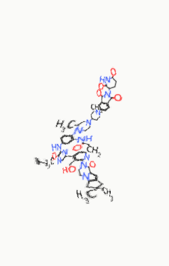 C=CC(=O)Nc1cc(Nc2nc(-c3ccnc(N4CCn5c(cc6c5CC(C)(C)C6)C4=O)c3CO)cnc2OC)ccc1N1CCN(C2CCN(c3ccc4c(c3)C(=O)N(C3CCC(=O)NC3=O)C4=O)[C@@H](C)C2)C[C@@H]1C